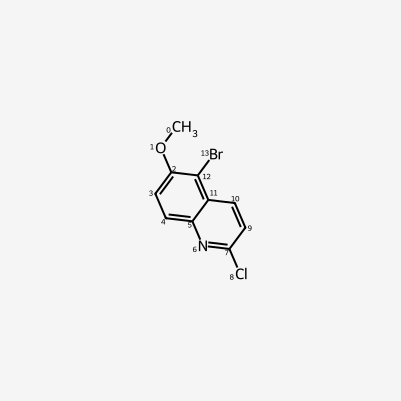 COc1ccc2nc(Cl)ccc2c1Br